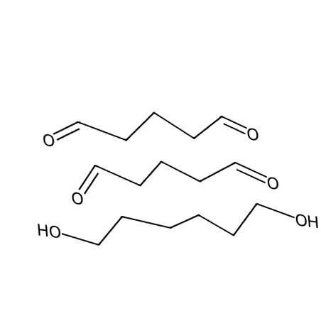 O=CCCCC=O.O=CCCCC=O.OCCCCCCO